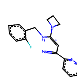 N=C(/C=C(\NCc1ccccc1F)N1CCC1)c1ccccn1